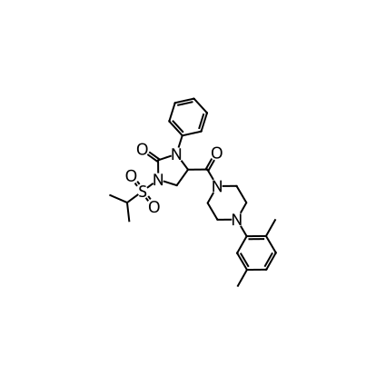 Cc1ccc(C)c(N2CCN(C(=O)C3CN(S(=O)(=O)C(C)C)C(=O)N3c3ccccc3)CC2)c1